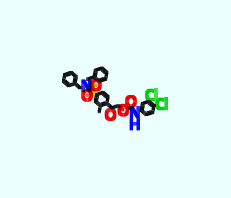 Cc1cc(S(=O)(=O)N(Cc2ccccc2)Cc2ccccc2)ccc1C(=O)COC(=O)Nc1ccc(Cl)c(Cl)c1